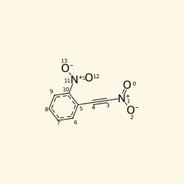 O=[N+]([O-])C#Cc1ccccc1[N+](=O)[O-]